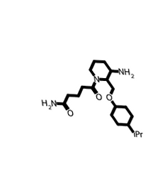 CC(C)C1CCC(OCC2C(N)CCCN2C(=O)CCCC(N)=O)CC1